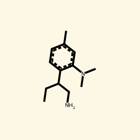 CCC(CN)c1ccc(C)cc1N(C)C